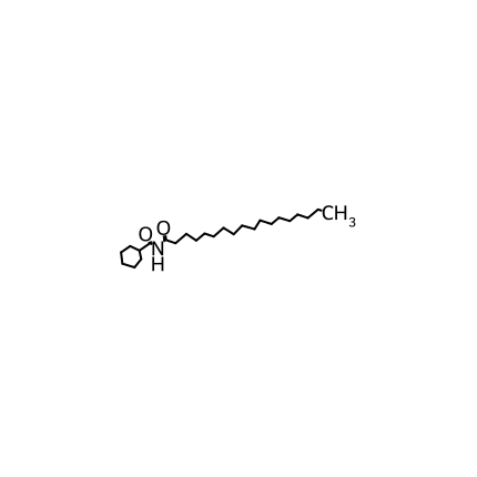 CCCCCCCCCCCCCCCCCC(=O)NC(=O)C1CCCCC1